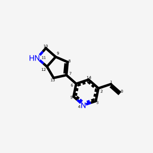 C=Cc1cncc(C2=CC3CNC3C2)c1